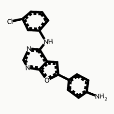 Nc1ccc(-c2cc3c(Nc4cccc(Cl)c4)ncnc3o2)cc1